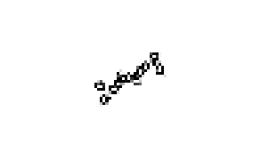 Cc1ccc(N(c2ccccc2)c2ccc3cc4c(cc3c2)oc2cc3c(cc24)oc2cc4cc(N(c5ccccc5)c5ccc(C)cc5C)ccc4cc23)c(C)c1